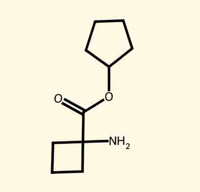 NC1(C(=O)OC2CCCC2)CCC1